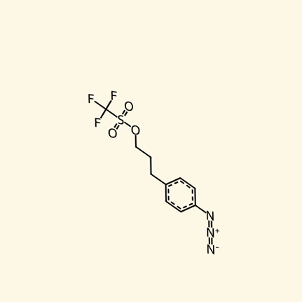 [N-]=[N+]=Nc1ccc(CCCOS(=O)(=O)C(F)(F)F)cc1